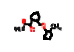 COC(=O)C(=O)c1ccccc1COc1ccccc1C